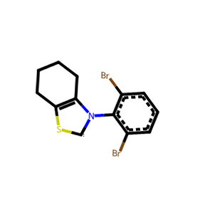 Brc1cccc(Br)c1N1[C]SC2=C1CCCC2